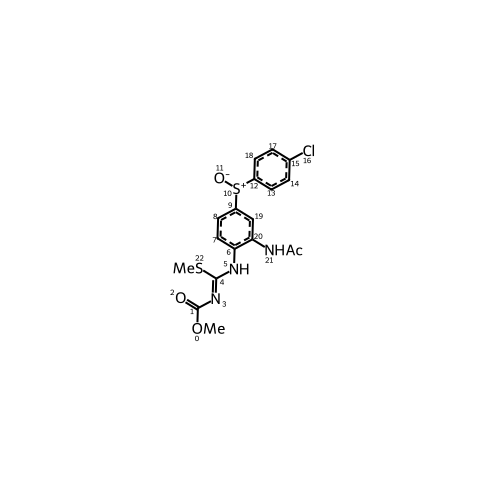 COC(=O)/N=C(/Nc1ccc([S+]([O-])c2ccc(Cl)cc2)cc1NC(C)=O)SC